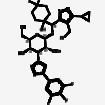 CO[C@@H]1[C@@H](n2cc(-c3cc(F)c(F)c(F)c3)nn2)[C@@H](O)[C@@H](CO)O[C@H]1S[C@H](c1noc(C2CC2)c1CC(C)C)C1(O)CCC(F)(F)CC1